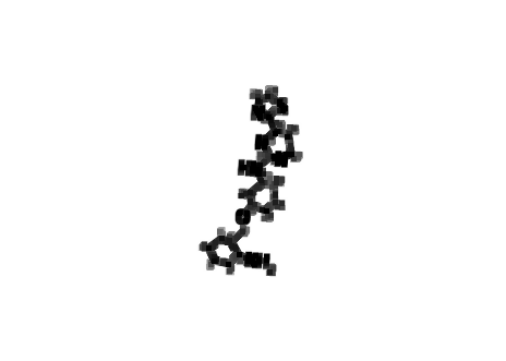 Nc1ccccc1COc1cccc(Nc2nccc(-c3nccs3)n2)c1